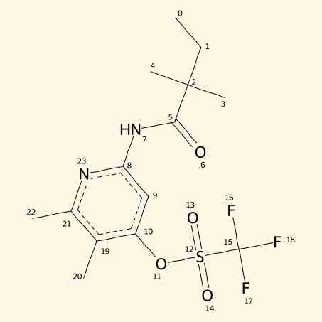 CCC(C)(C)C(=O)Nc1cc(OS(=O)(=O)C(F)(F)F)c(C)c(C)n1